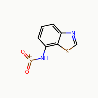 O=[SH](=O)Nc1cccc2ncsc12